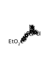 CCOC(=O)N1CCN(c2ccc(OCC3COC(Cn4ccnc4)(c4ccc(Cl)cc4Cl)O3)cc2)CC1